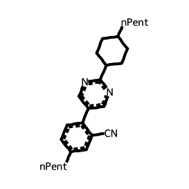 CCCCCc1ccc(-c2cnc(C3CCC(CCCCC)CC3)nc2)c(C#N)c1